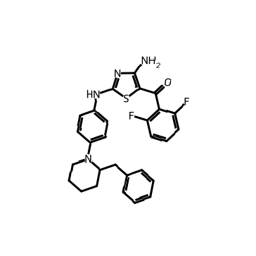 Nc1nc(Nc2ccc(N3CCCCC3Cc3ccccc3)cc2)sc1C(=O)c1c(F)cccc1F